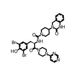 O=C(N[C@H](Cc1cc(Br)c(O)c(Br)c1)C(=O)N1CCN(c2ccncn2)CC1)N1CCC(N2Cc3ccccc3NC2=O)CC1